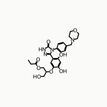 CCC(=O)OCC(CO)Oc1cc(-c2n[nH]c(=O)n2-c2ccc(CN3CCOCC3)cc2)c(O)cc1O